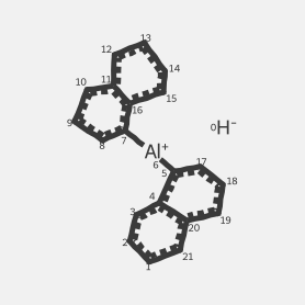 [H-].c1ccc2[c]([Al+][c]3cccc4ccccc34)cccc2c1